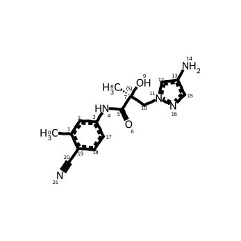 Cc1cc(NC(=O)[C@@](C)(O)Cn2cc(N)cn2)ccc1C#N